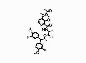 COc1ccc(C(c2ccc(OC)c(F)c2)[C@H](C)OC(=O)[C@H](C)NC(=O)c2nccc(OC)c2OCOC(C)=O)cc1F